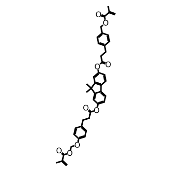 C=C(C)C(=O)OCOc1ccc(CCC(=O)Oc2ccc3c(c2)C(C)(C)c2cc(OC(=O)CCc4ccc(COC(=O)C(=C)C)cc4)ccc2-3)cc1